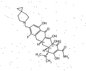 CN(C)[C@@H]1C(O)=C(C(N)=O)C(=O)[C@@]2(O)C(O)=C3C(=O)c4c(O)cc(CN5CCC6(CC5)CC6)c(F)c4C[C@H]3C[C@@H]12